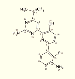 CN(C)c1cc(-c2nc(-c3ccnc(N)c3F)ccc2O)nc(N)n1